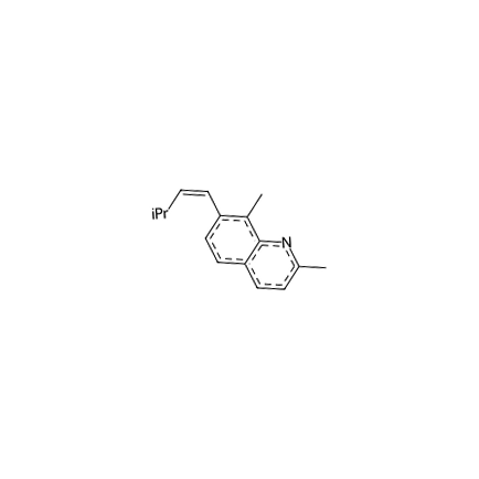 Cc1ccc2ccc(/C=C\C(C)C)c(C)c2n1